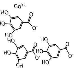 O=C([O-])c1cc(O)c(O)c(O)c1.O=C([O-])c1cc(O)c(O)c(O)c1.O=C([O-])c1cc(O)c(O)c(O)c1.[Gd+3]